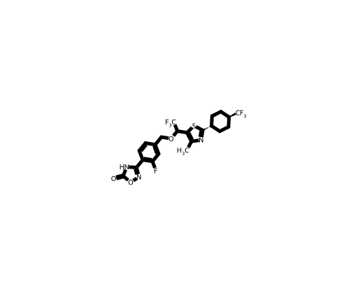 Cc1nc([C@H]2CC[C@H](C(F)(F)F)CC2)sc1C(OCc1ccc(-c2noc(=O)[nH]2)c(F)c1)C(F)(F)F